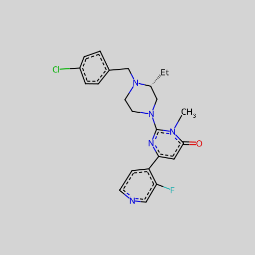 CC[C@@H]1CN(c2nc(-c3ccncc3F)cc(=O)n2C)CCN1Cc1ccc(Cl)cc1